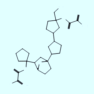 C=C(C)C(=O)OC1(CC)CCC(C2CCC(C34CCC(O3)C(C3(OC(=O)C(=C)C)CCCC3)C4)C2)C1